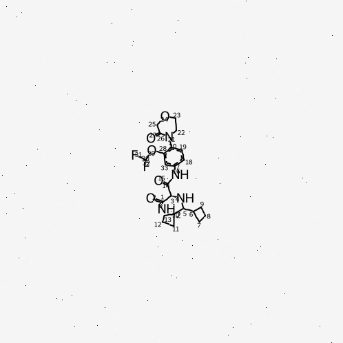 NC(=O)[C@H](NC(C1CCC1)C1CCC1)C(=O)Nc1ccc(N2CCOCC2=O)c(OC(F)F)c1